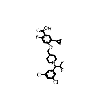 O=C(O)c1cc(C2CC2)c(OCC2CCN(C(c3cc(Cl)cc(Cl)c3)C(F)F)CC2)cc1F